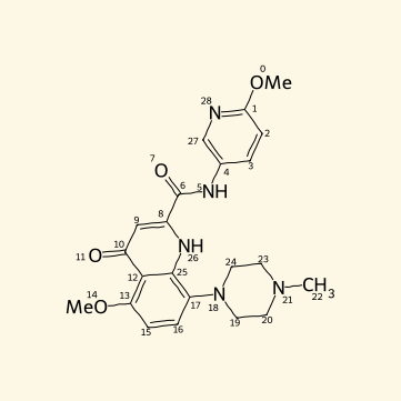 COc1ccc(NC(=O)c2cc(=O)c3c(OC)ccc(N4CCN(C)CC4)c3[nH]2)cn1